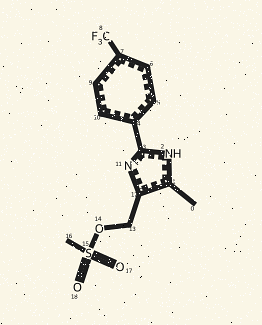 Cc1[nH]c(-c2ccc(C(F)(F)F)cc2)nc1COS(C)(=O)=O